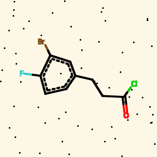 O=C(Cl)CCc1ccc(F)c(Br)c1